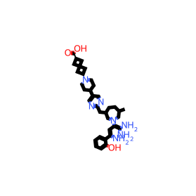 CC1CCC(Cc2ncc(C3CCN([C@H]4CC5(C[C@H](C(=O)O)C5)C4)CC3)cn2)CN(C(/C=C(\N)c2ccccc2O)=C(N)N)C1